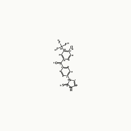 O=C(c1ccc(-n2cn[nH]c2=S)cc1)c1ccc(Cl)c(C(F)(F)F)c1